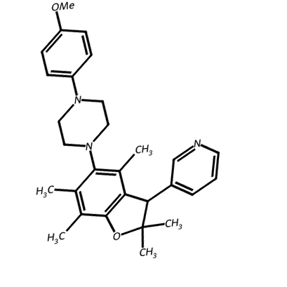 COc1ccc(N2CCN(c3c(C)c(C)c4c(c3C)C(c3cccnc3)C(C)(C)O4)CC2)cc1